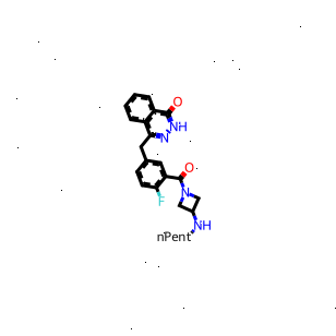 CCCCCNC1CN(C(=O)c2cc(Cc3n[nH]c(=O)c4ccccc34)ccc2F)C1